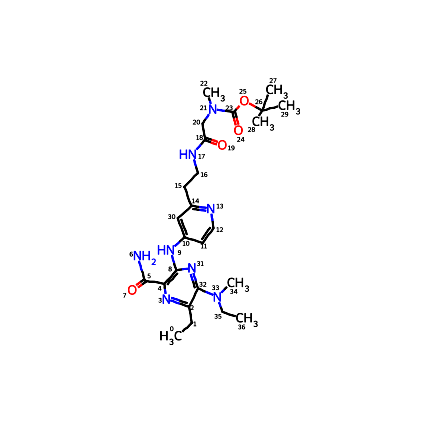 CCc1nc(C(N)=O)c(Nc2ccnc(CCNC(=O)CN(C)C(=O)OC(C)(C)C)c2)nc1N(C)CC